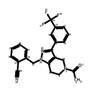 CC(=O)N1CCc2c(c(-c3cccc(C(F)(F)F)c3)nn2Cc2ccccc2C#N)C1